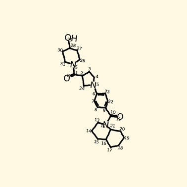 O=C(C1CCN(c2ccc(C(=O)N3CCCC4CCCCC43)cc2)C1)N1CCC(O)CC1